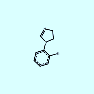 Brc1ccccc1N1[C]=NCC1